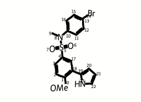 COc1ccc(S(=O)(=O)N(C)c2ccc(Br)cc2)cc1-c1ccc[nH]1